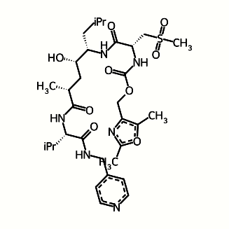 Cc1nc(COC(=O)N[C@@H](CS(C)(=O)=O)C(=O)N[C@@H](CC(C)C)[C@@H](O)C[C@@H](C)C(=O)N[C@H](C(=O)NCc2ccncc2)C(C)C)c(C)o1